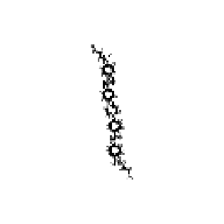 CCCCN(C)c1ccc(/N=N/c2ccc(N3CCN(c4ccc(/N=N/c5ccc(N(C)CCCC)cc5)cc4)CC3)cc2)cc1